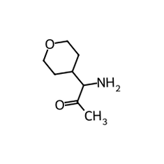 CC(=O)C(N)C1CCOCC1